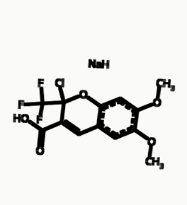 COc1cc2c(cc1OC)OC(Cl)(C(F)(F)F)C(C(=O)O)=C2.[NaH]